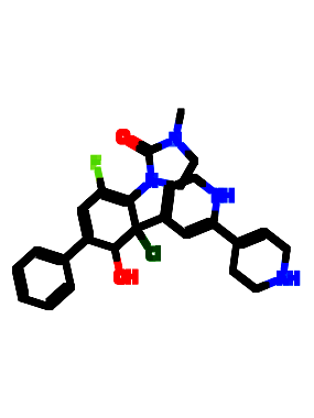 CN1CCN(C2=C(F)C=C(c3ccccc3)C(O)C2(Cl)C2=CCNC(C3=CCNCC3)=C2)C1=O